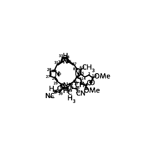 COC(=O)CCC1=C(C)C2=NC1(CCC(=O)OC)C(C)C1(CCC#N)NC(C)(/C=C3/C=CC(=N3)/C=c3/cc/c([nH]3)=C/2)C(CCC#N)=C1C